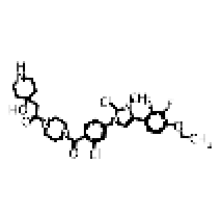 CCOc1ccc(C2=CN(c3ccc(C(=O)N4CCN(C(=O)CC5(O)CCNCC5)CC4)c(Cl)c3)C(Cl)N2C)c(F)c1F